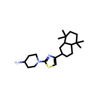 CC1(C)CCC(C)(C)C2CC(c3csc(N4CCC(N)CC4)n3)CCC21